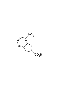 O=C(O)c1cc2c([N+](=O)[O-])cccc2s1